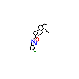 CCCC1C(CC)CCC2C1CCC1(C)C(C(=O)Cn3cc4ccc(F)cc4n3)CCC21